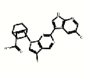 O=C(O)C1=C(n2cc(F)c3cnc(-c4c[nH]c5ncc(Cl)cc45)nc32)C2CCC1CC2